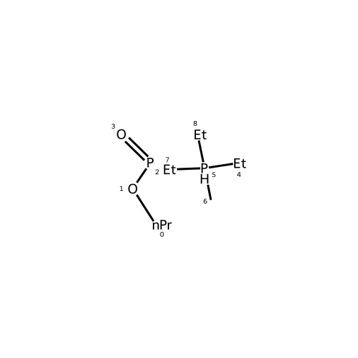 CCCOP=O.CC[PH](C)(CC)CC